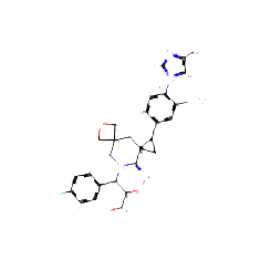 COc1cc(C2CC23CC2(COC2)CN2C3=NOC(CO)C2c2ccc(F)cc2)ccc1-n1cnc(C)c1